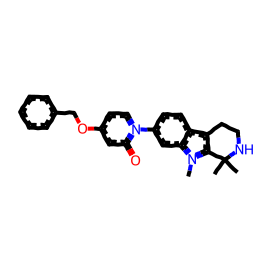 Cn1c2c(c3ccc(-n4ccc(OCc5ccccc5)cc4=O)cc31)CCNC2(C)C